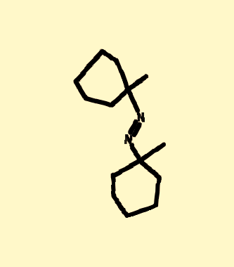 CC1(N=NC2(C)CCCCC2)CCCCC1